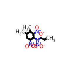 C=CCN(c1c([N+](=O)[O-])cc(C)c(C)c1[N+](=O)[O-])[N+](=O)[O-]